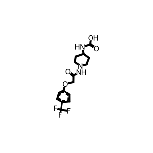 O=C(O)NC1CCN(NC(=O)COc2ccc(C(F)(F)F)cc2)CC1